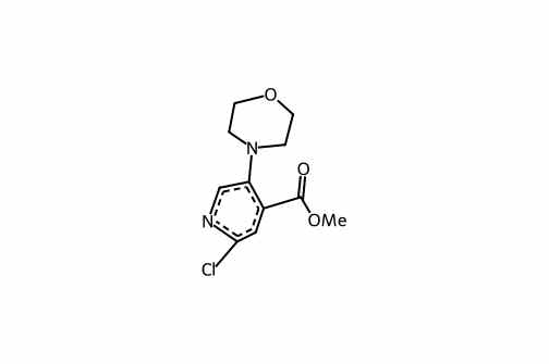 COC(=O)c1cc(Cl)ncc1N1CCOCC1